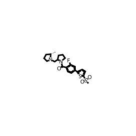 C[C@H]1CCCN1CC1CCCN1C(=O)c1ccc(-c2ccc(S(C)(=O)=O)s2)cc1F